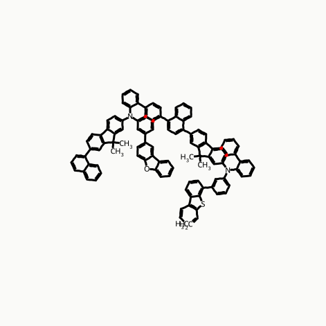 C=Cc1sc2c(-c3cccc(N(c4ccc5c(c4)C(C)(C)c4cc(-c6ccc(-c7ccc(-c8ccccc8N(c8cccc(-c9ccc%10oc%11ccccc%11c%10c9)c8)c8ccc9c(c8)C(C)(C)c8cc(-c%10cccc%11ccccc%10%11)ccc8-9)cc7)c7ccccc67)ccc4-5)c4ccccc4-c4ccccc4)c3)cccc2c1/C=C\C